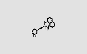 CN(CC#Cc1cccnc1)c1cccc2cccc(I)c12